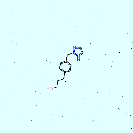 OCCCc1ccc(Cc2ncc[nH]2)cc1